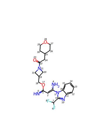 N=C(/C=C(\N)n1c(C(F)F)nc2ccccc21)OCC1CN(C(=O)CC2CCOCC2)C1